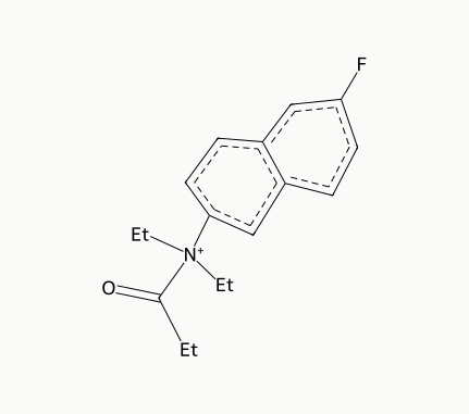 CCC(=O)[N+](CC)(CC)c1ccc2cc(F)ccc2c1